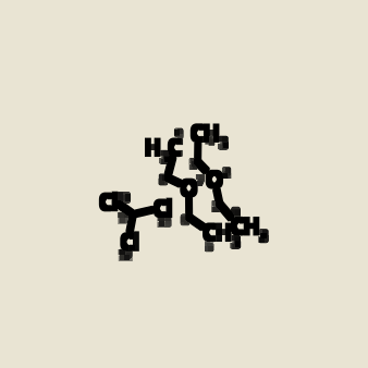 CCOCC.CCOCC.ClC(Cl)Cl